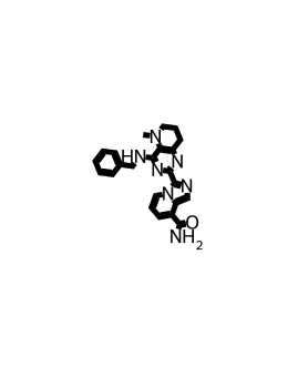 CN1CCCc2nc(-c3ncc4c(C(N)=O)cccn34)nc(NCc3ccccc3)c21